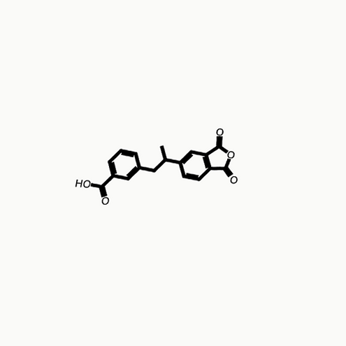 CC(Cc1cccc(C(=O)O)c1)c1ccc2c(c1)C(=O)OC2=O